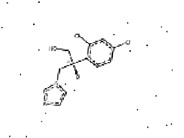 OC[C@@](O)(Cn1ccnc1)c1ccc(Cl)cc1Cl